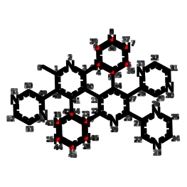 Cc1nc(-c2cccnc2)c(-c2c(-c3cnccn3)nc(-c3cnccn3)c(-c3cnccn3)c2-c2cnccn2)c(-c2cnccn2)c1-c1cnccn1